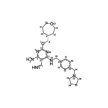 N=Cc1c(N)nc(OC[C@@H]2CCCOCC2)nc1NCc1ccc(CN2CCCC2)cc1